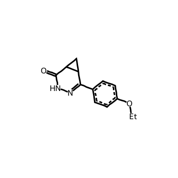 CCOc1ccc(C2=NNC(=O)C3CC23)cc1